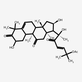 CC(=O)OC(C)(C)/C=C/C(=O)[C@](C)(O)C1[C@H](O)C[C@@]2(C)C3CC=C4C(CC(O)C(=O)C4(C)C)[C@]3(C)C(=O)C[C@]12C